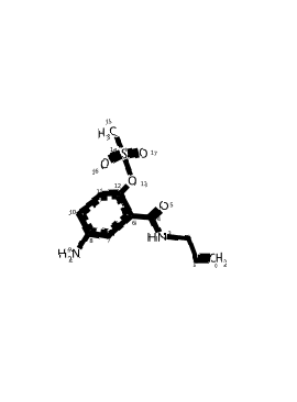 C=CCNC(=O)c1cc(N)ccc1OS(C)(=O)=O